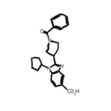 O=C(O)c1ccc2c(c1)nc(C1CCN(C(=O)c3ccccc3)CC1)n2C1CCCC1